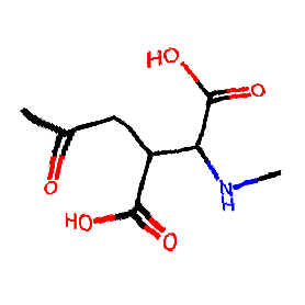 CNC(C(=O)O)C(CC(C)=O)C(=O)O